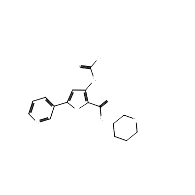 NC(=O)Nc1cc(-c2cccnc2)sc1C(=O)N[C@H]1CCCNC1